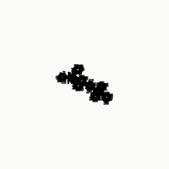 c1ccc(-c2nc(-c3ccccc3)c3c(n2)-c2cccc4c(-c5ccc(-c6c7ccccc7c(-c7ccccc7)c7ccccc67)cc5)ccc-3c24)cc1